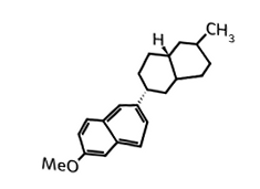 COc1ccc2cc([C@@H]3CC[C@@H]4CC(C)CCC4C3)ccc2c1